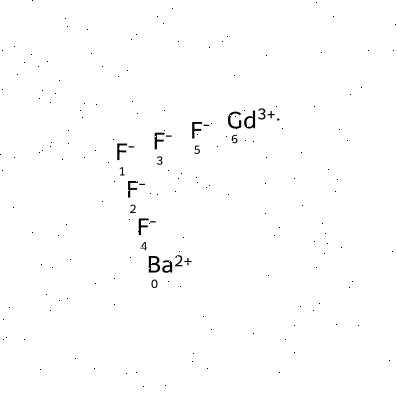 [Ba+2].[F-].[F-].[F-].[F-].[F-].[Gd+3]